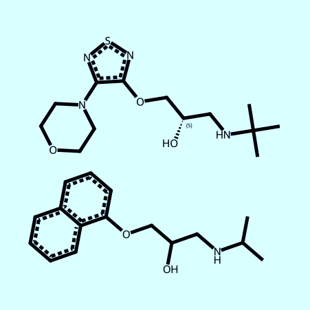 CC(C)(C)NC[C@H](O)COc1nsnc1N1CCOCC1.CC(C)NCC(O)COc1cccc2ccccc12